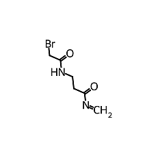 C=NC(=O)CCNC(=O)CBr